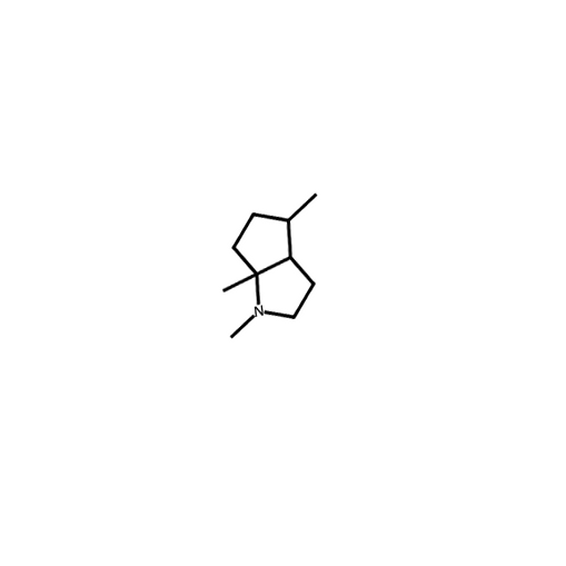 CC1CCC2(C)C1CCN2C